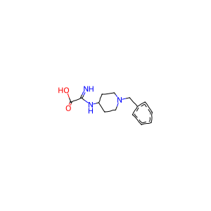 N=C(NC1CCN(Cc2ccccc2)CC1)C(=O)O